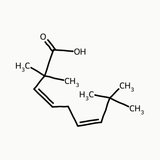 CC(C)(C)/C=C\C/C=C\C(C)(C)C(=O)O